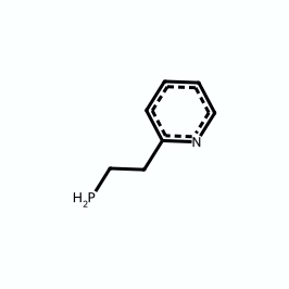 PCCc1ccccn1